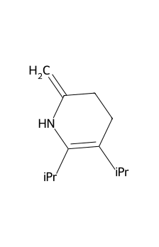 C=C1CCC(C(C)C)=C(C(C)C)N1